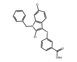 CCc1c(Sc2cccc(C(=O)OC)c2)c2ccc(Cl)cc2n1Cc1ccccc1